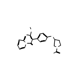 COc1nc2ccccn2c(=O)c1-c1ccc(NC2CCN(C(=O)O)C2)cc1